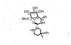 CCCC1(F)CCN[C@H](C(=O)N[C@H](C(C)C)[C@H]2O[C@H](SC)[C@H](O)[C@@H](O)[C@H]2O)C1